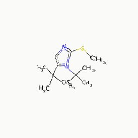 CSc1ncc(C(C)(C)C)n1C(C)(C)C